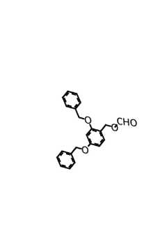 O=[C]OCc1ccc(OCc2ccccc2)cc1OCc1ccccc1